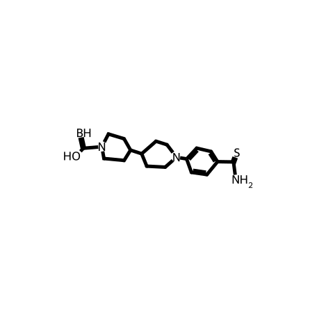 B=C(O)N1CCC(C2CCN(c3ccc(C(N)=S)cc3)CC2)CC1